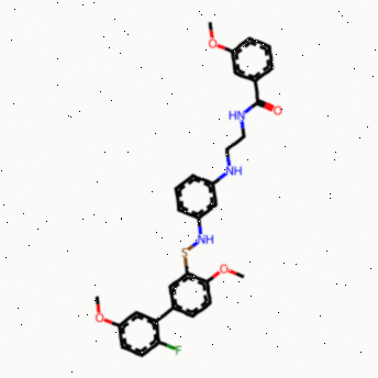 COc1cccc(C(=O)NCCNc2cccc(NSc3cc(-c4cc(OC)ccc4F)ccc3OC)c2)c1